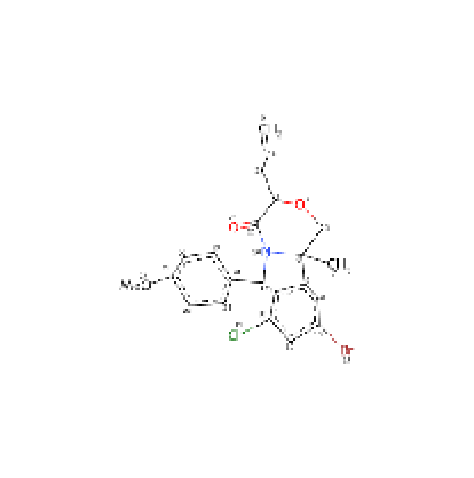 C=CCC1OCC(C)(c2cc(Cl)cc(Br)c2)N(Cc2ccc(OC)cc2)C1=O